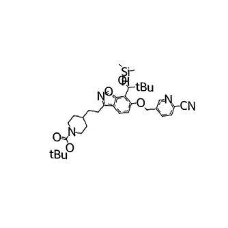 C[SiH](C)OC(c1c(OCc2ccc(C#N)nc2)ccc2c(CCC3CCN(C(=O)OC(C)(C)C)CC3)noc12)C(C)(C)C